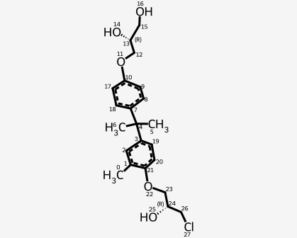 Cc1cc(C(C)(C)c2ccc(OC[C@H](O)CO)cc2)ccc1OC[C@@H](O)CCl